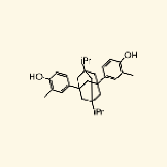 Cc1cc(C23CC4(c5ccc(O)c(C)c5)CC(C(C)C)(C2)CC(C(C)C)(C3)C4)ccc1O